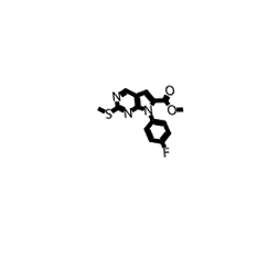 COC(=O)c1cc2cnc(SC)nc2n1-c1ccc(F)cc1